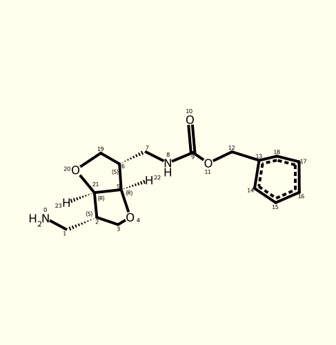 NC[C@H]1CO[C@@H]2[C@@H](CNC(=O)OCc3ccccc3)CO[C@H]12